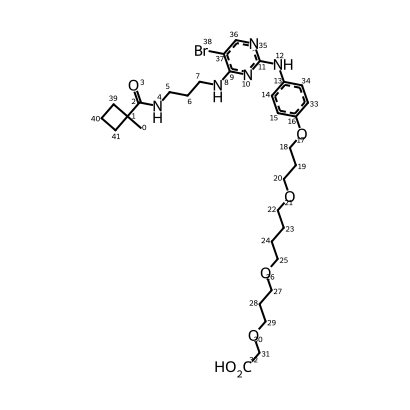 CC1(C(=O)NCCCNc2nc(Nc3ccc(OCCCOCCCCOCCCOCC(=O)O)cc3)ncc2Br)CCC1